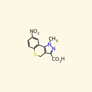 Cn1nc(C(=O)O)c2c1-c1cc([N+](=O)[O-])ccc1SC2